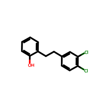 Oc1ccccc1CCc1ccc(Cl)c(Cl)c1